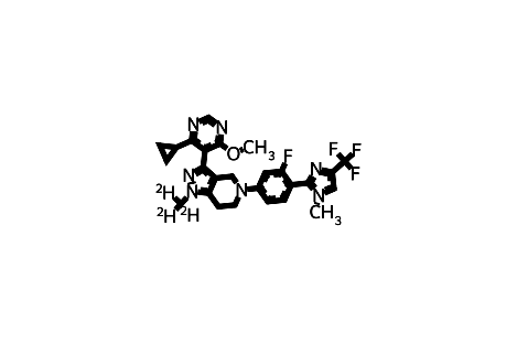 [2H]C([2H])([2H])n1nc(-c2c(OC)ncnc2C2CC2)c2c1CCN(c1ccc(-c3nc(C(F)(F)F)cn3C)c(F)c1)C2